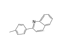 Cc1ccc(-c2c[c]c3ccccc3n2)cc1